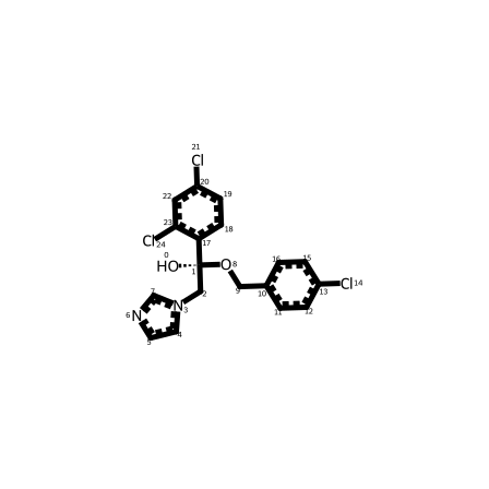 O[C@@](Cn1ccnc1)(OCc1ccc(Cl)cc1)c1ccc(Cl)cc1Cl